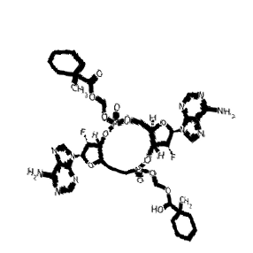 CC1(C(=O)OCOP2(=O)OC[C@H]3O[C@@H](n4cnc5c(N)ncnc54)[C@H](F)[C@@H]3OP(=O)(OCOC(O)C3(C)CCCCC3)CCC3O[C@@H](n4cnc5c(N)ncnc54)[C@H](F)[C@@H]3O2)CCCCC1